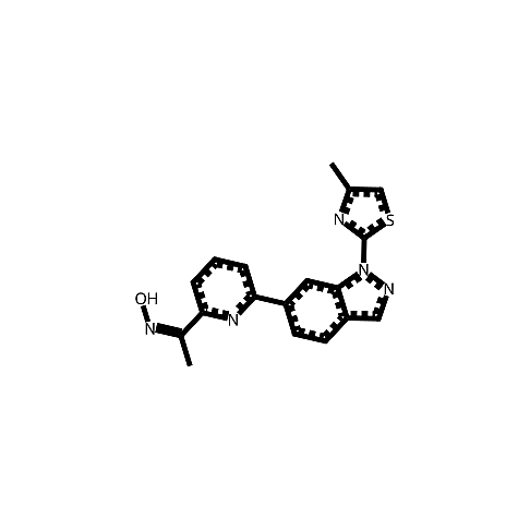 C/C(=N/O)c1cccc(-c2ccc3cnn(-c4nc(C)cs4)c3c2)n1